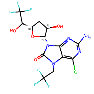 Nc1nc(Cl)c2c(n1)n([C@@H]1O[C@H](C(O)C(F)(F)F)C[C@H]1O)c(=O)n2CC(F)(F)F